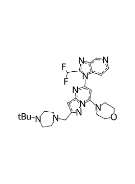 CC(C)(C)N1CCN(Cc2cc3nc(-n4c(C(F)F)nc5cnccc54)cc(N4CCOCC4)n3n2)CC1